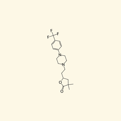 CC1(C)CC(CCN2CCN(c3ccc(C(F)(F)F)cc3)CC2)OC1=O